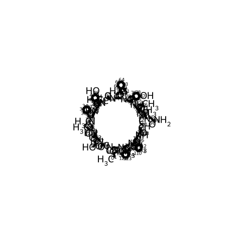 CCCC[C@H]1C(=O)N(C)CC(=O)N[C@@H](CC(=O)O)C(=O)N[C@@H](C(C)C)C(=O)N(C)[C@@H](Cc2ccccc2)C(=O)N[C@@H](Cc2ccc(O)cc2)C(=O)N(C)CC(=O)N[C@@H](Cc2csc3ccccc23)C(=O)N[C@@H](Cc2ccc(O)cc2)C(=O)N[C@@H](CC(C)C)C(=O)N[C@H](C(=O)NCC(N)=O)CSCC(=O)N[C@@H](Cc2ccccc2)C(=O)N(C)[C@@H](Cc2ccccc2)C(=O)N1C